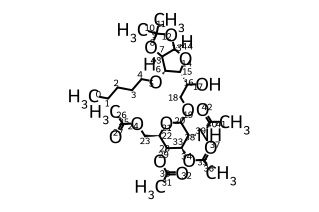 CCCCCO[C@@H]1[C@H]2OC(C)(C)O[C@H]2O[C@@H]1C(O)CO[C@@H]1O[C@H](COC(C)=O)[C@@H](OC(C)=O)[C@H](OC(C)=O)[C@H]1NC(C)=O